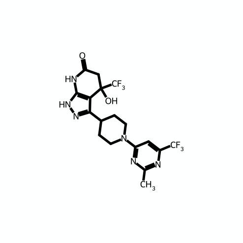 Cc1nc(N2CCC(c3n[nH]c4c3C(O)(C(F)(F)F)CC(=O)N4)CC2)cc(C(F)(F)F)n1